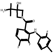 Cc1ccc(Nc2c(C(=O)N3CC(O)(C(C)(C)N)C3)ccc(F)c2F)c(F)c1